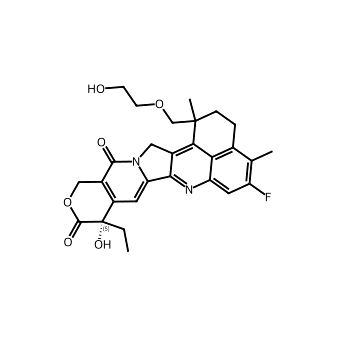 CC[C@@]1(O)C(=O)OCc2c1cc1n(c2=O)Cc2c-1nc1cc(F)c(C)c3c1c2C(C)(COCCO)CC3